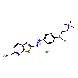 CCN(CC[N+](C)(C)C)c1ccc(/N=N/c2nc3ccc(OC)nc3s2)cc1.[Br-]